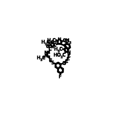 Cc1nn(C)c2c1-c1c(Cl)ccc3c1c(C)c(C(=O)O)n3CCCOc1cc(cc3cc(F)ccc13)SCc1cc(nn1C)CN(S(C)(=O)=O)C2